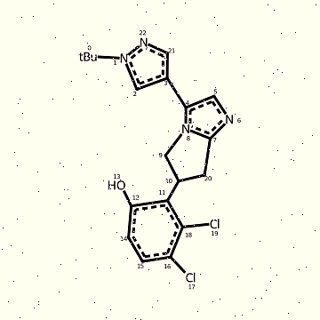 CC(C)(C)n1cc(-c2cnc3n2CC(c2c(O)ccc(Cl)c2Cl)C3)cn1